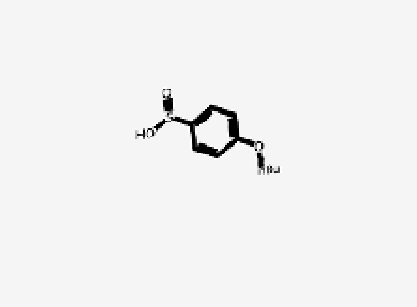 CCCCOc1ccc(S(=O)O)cc1